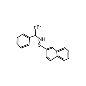 CCCC(NSc1ccc2ccccc2c1)c1ccccc1